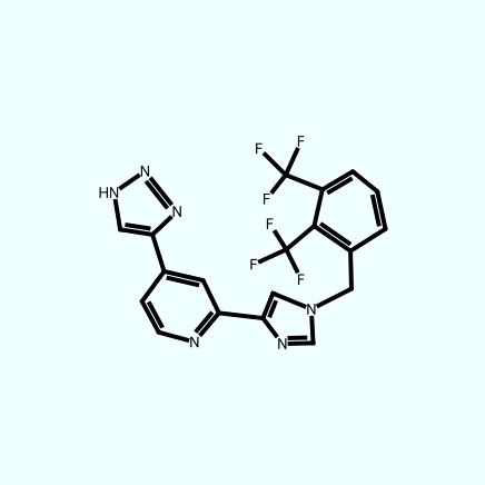 FC(F)(F)c1cccc(Cn2cnc(-c3cc(-c4c[nH]nn4)ccn3)c2)c1C(F)(F)F